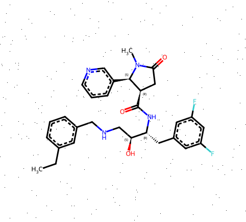 CCc1cccc(CNC[C@H](O)[C@@H](Cc2cc(F)cc(F)c2)NC(=O)[C@@H]2CC(=O)N(C)[C@@H]2c2cccnc2)c1